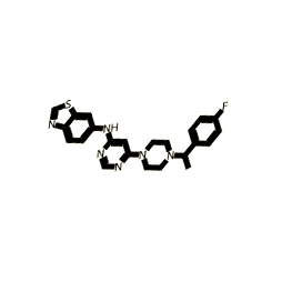 CC(c1ccc(F)cc1)N1CCN(c2cc(Nc3ccc4ncsc4c3)ncn2)CC1